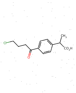 CC(C(=O)O)c1ccc(C(=O)CCCCl)cc1